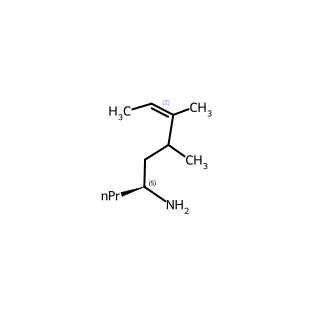 C/C=C(/C)C(C)C[C@@H](N)CCC